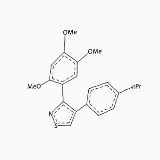 CCCc1ccc(-c2csnc2-c2cc(OC)c(OC)cc2OC)cc1